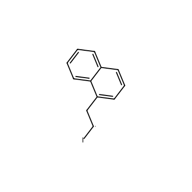 I[CH]Cc1cccc2ccccc12